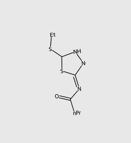 CCCC(=O)N=C1[N]NC(SCC)S1